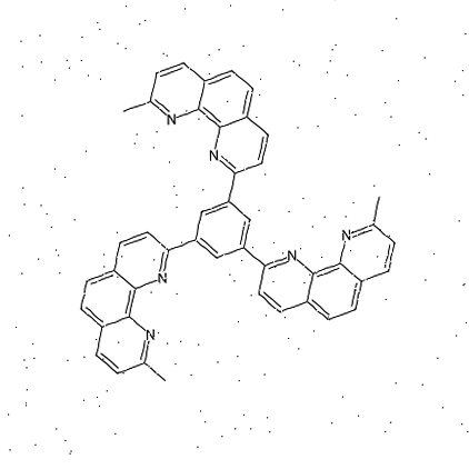 Cc1ccc2ccc3ccc(-c4cc(-c5ccc6ccc7ccc(C)nc7c6n5)cc(-c5ccc6ccc7ccc(C)nc7c6n5)c4)nc3c2n1